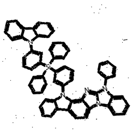 c1ccc(-n2c3ccccc3n3c4ccc5c6ccccc6n(-c6cccc([Si](c7ccccc7)(c7ccccc7)c7cccc(-n8c9ccccc9c9ccccc98)c7)c6)c5c4nc23)cc1